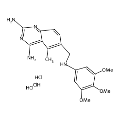 COc1cc(NCc2ccc3nc(N)nc(N)c3c2C)cc(OC)c1OC.Cl.Cl.Cl